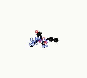 COc1cc(C)c(CC(NC(=O)C(N)CCCn2ccnc2N)C(=O)NC(Cc2cn(C)cn2)c2nc(Cc3ccc(-c4ccccc4)cc3)no2)c(C)c1